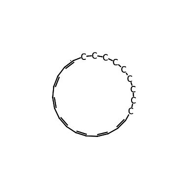 [C]1=C/C=C\C=C/C=C\C=C/C=C\C=C/CCCCCCCCC\1